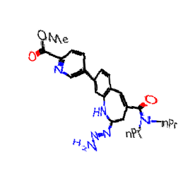 CCCN(CCC)C(=O)C1=Cc2ccc(-c3ccc(C(=O)OC)nc3)cc2NC(N=NN)C1